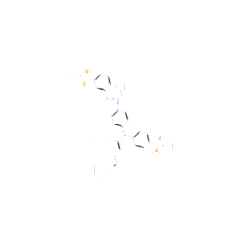 C=CC/C=C(\C)C(c1ccc(N(CC)Cc2cccc(S(=O)(=O)O)c2)cc1)c1ccc(S(=O)(=O)O)cc1